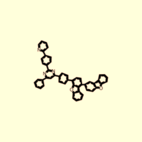 c1ccc(-c2cc(-c3ccc(-c4ccc(-c5ccc6oc7ccccc7c6c5)c5c4oc4ccccc45)cc3)nc(-c3ccc(-c4ccccn4)cc3)n2)cc1